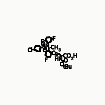 C[C@H](c1ccc(F)cc1CSC[C@H](NC(=O)OC(C)(C)C)C(=O)O)N(c1cc(F)ccc1F)S(=O)(=O)c1ccc(Cl)cc1